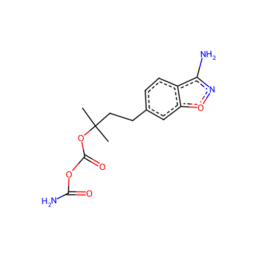 CC(C)(CCc1ccc2c(N)noc2c1)OC(=O)OC(N)=O